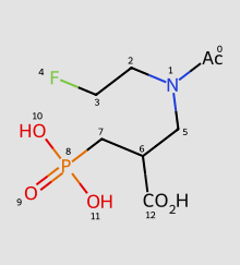 CC(=O)N(CCF)CC(CP(=O)(O)O)C(=O)O